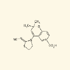 CC1(C)C=C(N2CCSC2=NC#N)c2cc(C(=O)O)ccc2O1